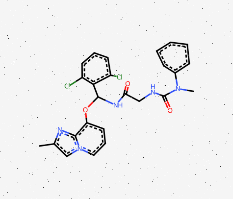 Cc1cn2cccc(OC(NC(=O)CNC(=O)N(C)c3ccccc3)c3c(Cl)cccc3Cl)c2n1